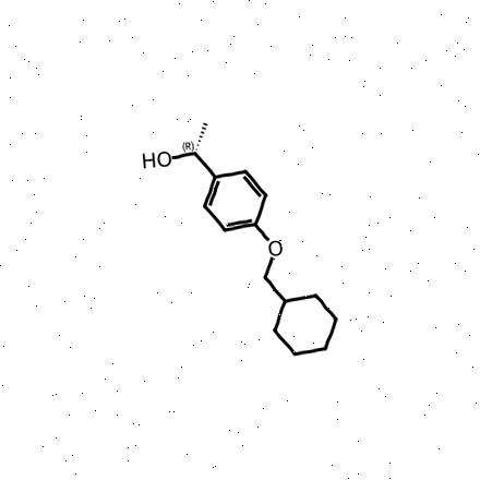 C[C@@H](O)c1ccc(OCC2CCCCC2)cc1